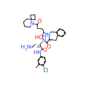 Cc1cc(NC(=O)[C@H](CCN)NC(=O)[C@@H]2Cc3ccccc3CN2C(O)CCC(=O)N2CCCCC23CCC3)ccc1Cl